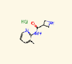 Cc1cccnc1NC(=O)C1CNC1.Cl